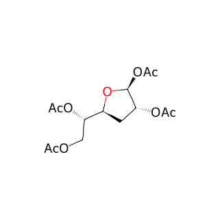 CC(=O)OC[C@H](OC(C)=O)[C@@H]1C[C@@H](OC(C)=O)[C@H](OC(C)=O)O1